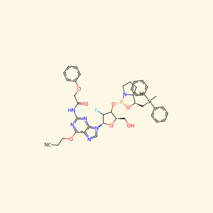 C[Si](C[C@H]1O[P@](OC2[C@@H](CO)O[C@@H](n3cnc4c(OCCC#N)nc(NC(=O)COc5ccccc5)nc43)[C@H]2F)N2CCC[C@@H]12)(c1ccccc1)c1ccccc1